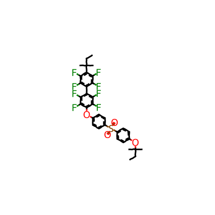 CCC(C)(C)Oc1ccc(S(=O)(=O)c2ccc(Oc3c(F)c(F)c(-c4c(F)c(F)c(C(C)(C)CC)c(F)c4F)c(F)c3F)cc2)cc1